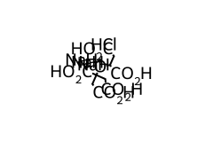 Cl.O=C(O)CC(OC(CC(=O)O)(CC(=O)O)C(=O)O)C(=O)O.[NaH].[NaH].[NaH]